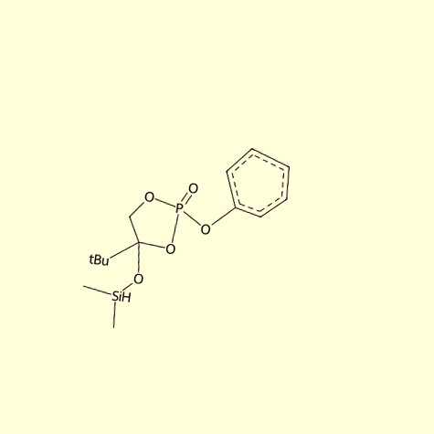 C[SiH](C)OC1(C(C)(C)C)COP(=O)(Oc2ccccc2)O1